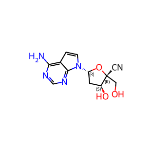 N#C[C@]1(CO)O[C@@H](n2ccc3c(N)ncnc32)C[C@@H]1O